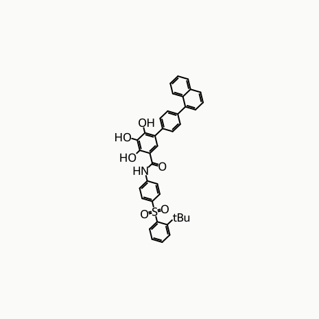 CC(C)(C)c1ccccc1S(=O)(=O)c1ccc(NC(=O)c2cc(-c3ccc(-c4cccc5ccccc45)cc3)c(O)c(O)c2O)cc1